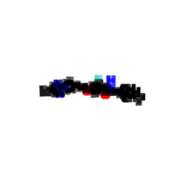 CCc1cnc(N2CCC(CCCOc3ccc(CC(=O)NCCC[N+](C)(C)C)c(F)c3)CC2)nc1